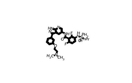 CCC[SH](=O)(P)Nc1ccc(F)c(C(=O)Nc2cnc3[nH]nc(-c4cccc(OCCN(C)C)c4)c3c2)c1F